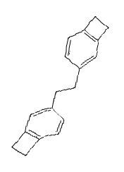 c1cc2c(cc1CCc1ccc3c(c1)CC3)CC2